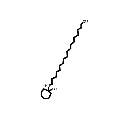 OCCCCCCCCCCCCCCCCCCNC1(O)CCCCCC1